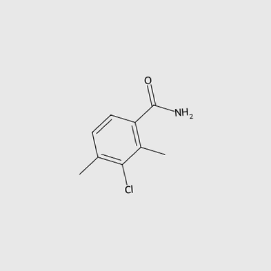 Cc1ccc(C(N)=O)c(C)c1Cl